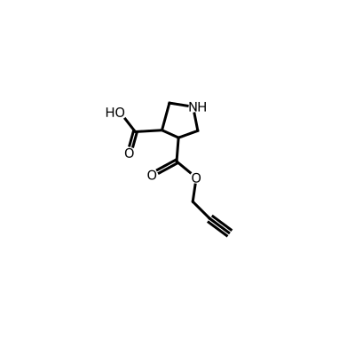 C#CCOC(=O)C1CNCC1C(=O)O